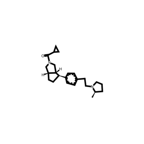 C[C@@H]1CCCN1CCc1ccc([C@H]2CC[C@@H]3CN(C(=O)C4CC4)C[C@@H]32)cc1